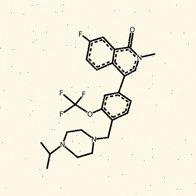 CC(C)N1CCN(Cc2ccc(-c3cn(C)c(=O)c4cc(F)ccc34)cc2OC(F)(F)F)CC1